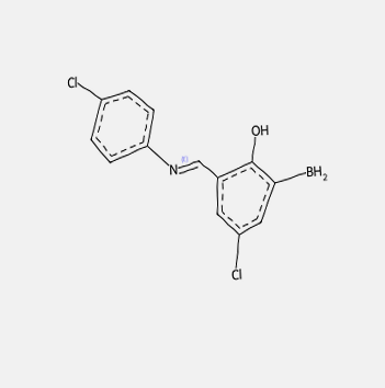 Bc1cc(Cl)cc(/C=N/c2ccc(Cl)cc2)c1O